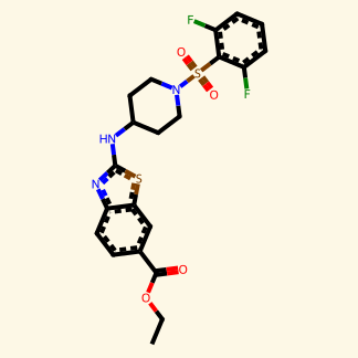 CCOC(=O)c1ccc2nc(NC3CCN(S(=O)(=O)c4c(F)cccc4F)CC3)sc2c1